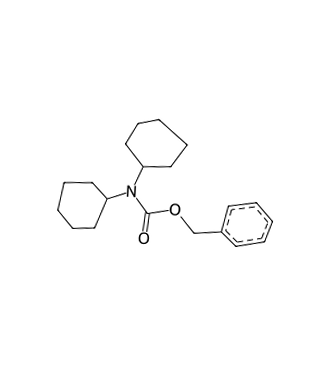 O=C(OCc1ccccc1)N(C1CCCCC1)C1CCCCC1